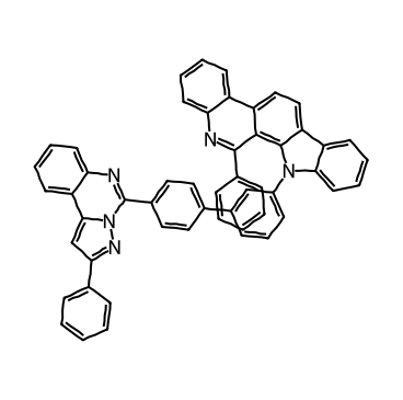 c1ccc(-c2cc3c4ccccc4nc(-c4ccc(-c5cccc(-n6c7ccccc7c7ccc8c9ccccc9nc(-c9ccccc9)c8c76)c5)cc4)n3n2)cc1